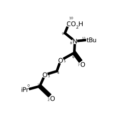 CC(C)C(=O)OCOC(=O)N(CC(=O)O)C(C)(C)C